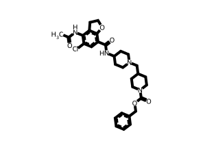 CC(=O)Nc1c(Cl)cc(C(=O)NC2CCN(CC3CCN(C(=O)OCc4ccccc4)CC3)CC2)c2c1CCO2